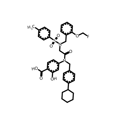 Cc1ccc(S(=O)(=O)N(CC(=O)N(Cc2ccc(C3CCCCC3)cc2)c2ccc(C(=O)O)c(O)c2)Cc2ccccc2OCF)cc1